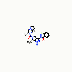 CC1CN2CCC[C@H]2CN1C(=O)N1Cc2c(NC(=O)c3ccccc3F)n[nH]c2C1C